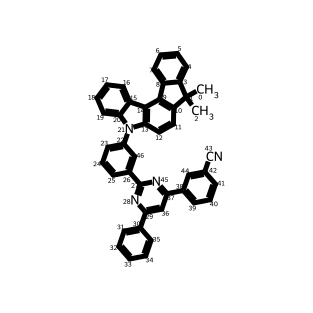 CC1(C)c2ccccc2-c2c1ccc1c2c2ccccc2n1-c1cccc(-c2nc(-c3ccccc3)cc(-c3cccc(C#N)c3)n2)c1